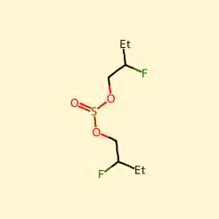 CCC(F)COS(=O)OCC(F)CC